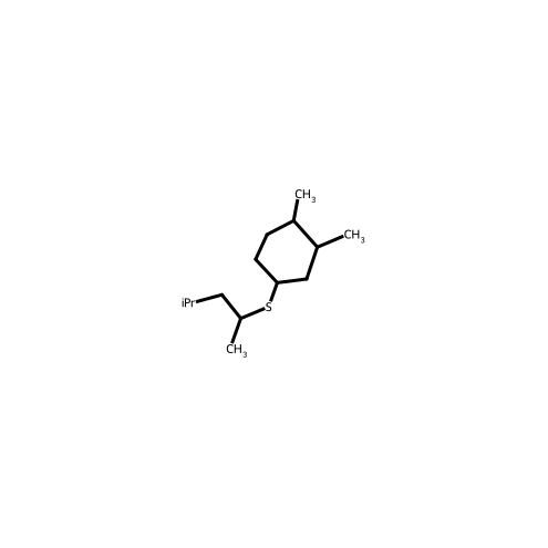 CC(C)CC(C)SC1CCC(C)C(C)C1